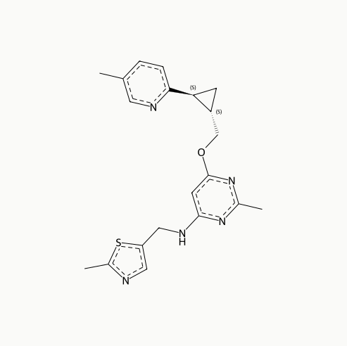 Cc1ccc([C@H]2C[C@@H]2COc2cc(NCc3cnc(C)s3)nc(C)n2)nc1